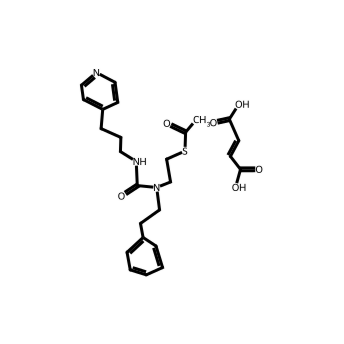 CC(=O)SCCN(CCc1ccccc1)C(=O)NCCCc1ccncc1.O=C(O)/C=C/C(=O)O